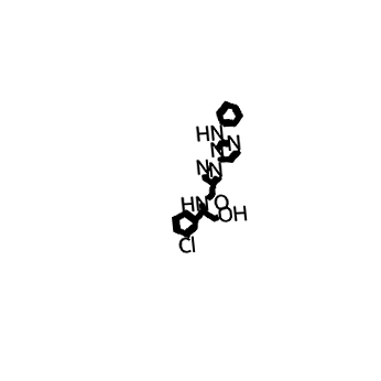 O=C(NC(CO)c1cccc(Cl)c1)c1cnn(-c2ccnc(Nc3ccccc3)n2)c1